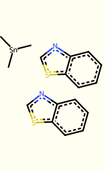 [CH3][Sn]([CH3])[CH3].c1ccc2scnc2c1.c1ccc2scnc2c1